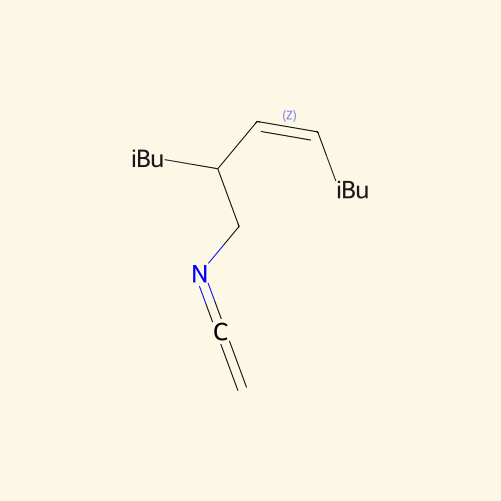 C=C=NCC(/C=C\C(C)CC)C(C)CC